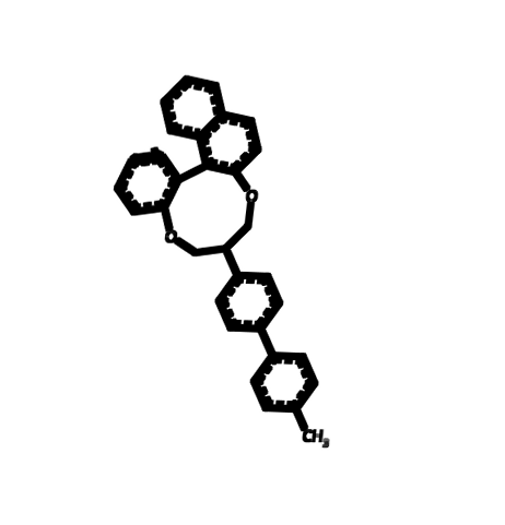 Cc1ccc(-c2ccc(C3COc4ccc5ccccc5c4-c4c(ccc5ccccc45)OC3)cc2)cc1